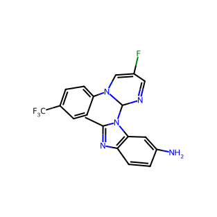 Cc1nc2ccc(N)cc2n1C1N=CC(F)=CN1c1ccc(C(F)(F)F)cc1